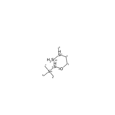 C[SiH]1CCO[SiH]([Si](C)(C)C)[SiH2]1